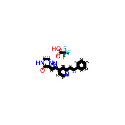 O=C(O)C(F)(F)F.O=C1NCCn2nc(-c3ccnc(C=Cc4ccccc4)c3)cc21